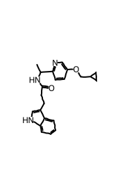 CC(NC(=O)CCc1c[nH]c2ccccc12)c1ccc(OCC2CC2)cn1